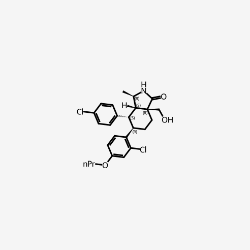 CCCOc1ccc([C@@H]2CC[C@@]3(CO)C(=O)N[C@H](C)[C@H]3[C@H]2c2ccc(Cl)cc2)c(Cl)c1